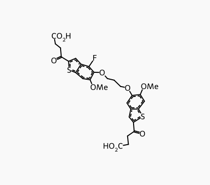 COc1cc2sc(C(=O)CCC(=O)O)cc2cc1OCCCOc1c(OC)cc2sc(C(=O)CCC(=O)O)cc2c1F